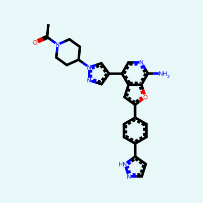 CC(=O)N1CCC(n2cc(-c3cnc(N)c4oc(-c5ccc(-c6ccn[nH]6)cc5)cc34)cn2)CC1